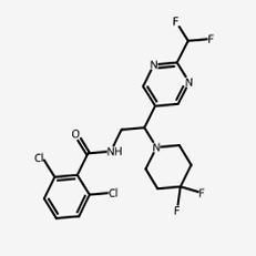 O=C(NCC(c1cnc(C(F)F)nc1)N1CCC(F)(F)CC1)c1c(Cl)cccc1Cl